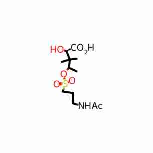 CC(=O)NCCCS(=O)(=O)OC(C)C(C)(C)[C@@H](O)C(=O)O